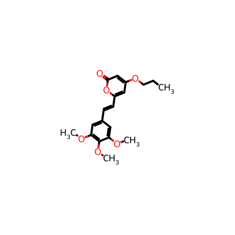 CCCOc1cc(C=Cc2cc(OC)c(OC)c(OC)c2)oc(=O)c1